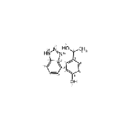 CC(O)c1ccc(O)cc1.c1ccc2[nH]nnc2c1